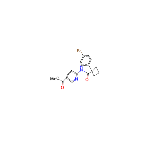 COC(=O)c1ccc(NC(=O)C2(c3ccc(Br)cc3)CCC2)nc1